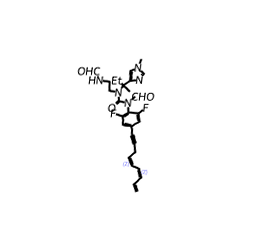 C=C/C=C\C=C/CC#Cc1cc(F)c(N(C=O)C(=O)N(CCNC=O)C(C)(CC)c2cn(C)cn2)c(F)c1